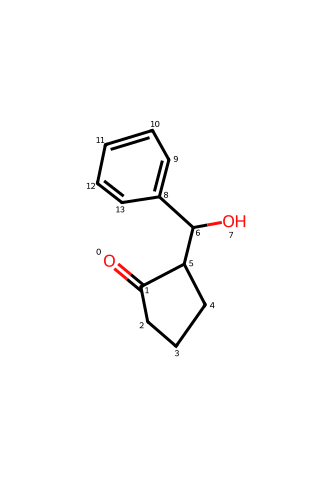 O=C1CCCC1C(O)c1ccccc1